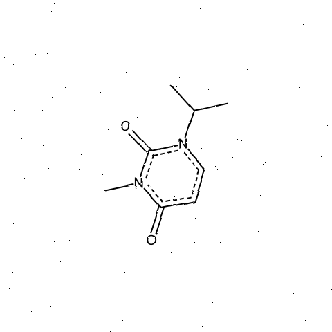 CC(C)n1ccc(=O)n(C)c1=O